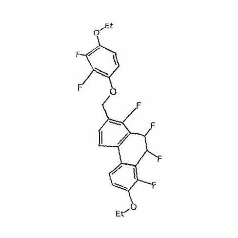 CCOc1ccc(OCc2ccc3c(c2F)C(F)C(F)c2c-3ccc(OCC)c2F)c(F)c1F